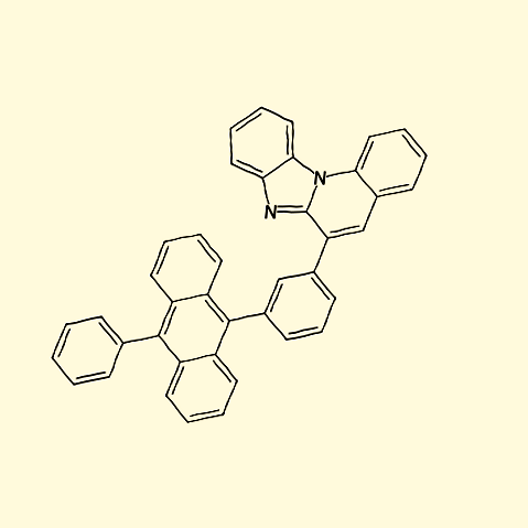 c1ccc(-c2c3ccccc3c(-c3cccc(-c4cc5ccccc5n5c4nc4ccccc45)c3)c3ccccc23)cc1